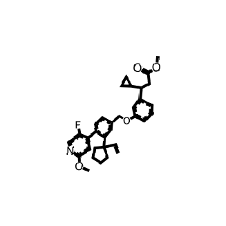 C=CC1(c2cc(COc3cccc(C(CC(=O)OC)C4CC4)c3)ccc2-c2cc(OC)ncc2F)CCCC1